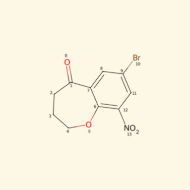 O=C1CCCOc2c1cc(Br)cc2[N+](=O)[O-]